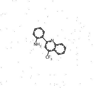 Nc1ccccc1-c1cc(C(F)(F)F)c2ccccc2n1